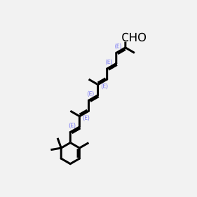 CC1=CCCC(C)(C)C1/C=C/C(C)=C/C=C/C(C)=C/C=C/C=C(\C)C=O